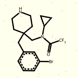 O=C(N(CC1(Cc2cccc(Br)c2)CCNCC1)C1CC1)C(F)(F)F